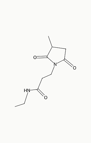 CCNC(=O)CCN1C(=O)CC(C)C1=O